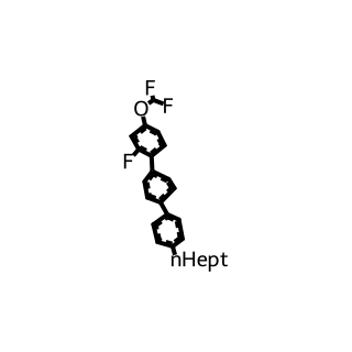 CCCCCCCc1ccc(-c2ccc(-c3ccc(OC(F)F)cc3F)cc2)cc1